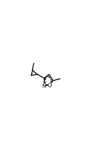 Cc1cc(C2CC2C)no1